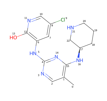 Cc1cnc(Nc2cc(Cl)cnc2O)nc1N[C@@H]1CCCNC1